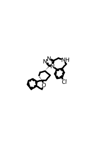 Clc1ccc2c(c1)CNCc1nnc([C@H]3CC[C@]4(CC3)OCc3ccccc34)n1-2